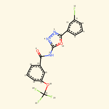 O=C(Nc1nnc(-c2cccc(F)c2)o1)c1cccc(OC(F)(F)F)c1